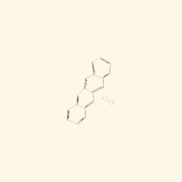 [O].[O].c1ccc2cc3cc4ccccc4cc3cc2c1